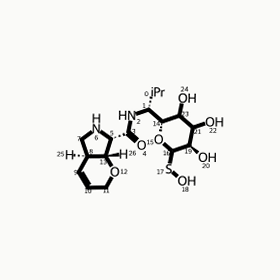 CC(C)[C@@H](NC(=O)[C@H]1NC[C@@H]2C=CCO[C@@H]12)[C@H]1OC(SO)[C@H](O)C(O)C1O